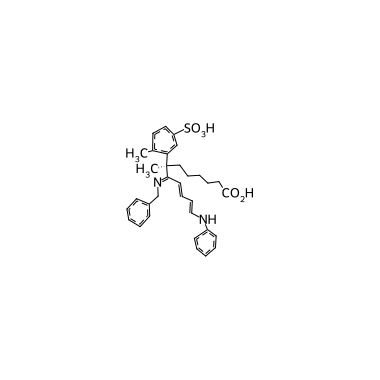 Cc1ccc(S(=O)(=O)O)cc1[C@@](C)(CCCCCC(=O)O)C(/C=C/C=C/Nc1ccccc1)=N/Cc1ccccc1